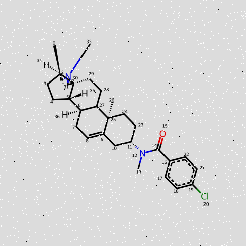 C[C@H]1[C@H]2CC[C@H]3[C@@H]4CC=C5C[C@@H](N(C)C(=O)c6ccc(Cl)cc6)CC[C@]5(C)C4CC[C@]23CN1C